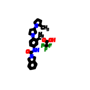 Cc1cc(NC(=O)N2Cc3ccccc3C2)ccc1N1CCC(N2CCCC2C)C1.O=C(O)C(F)(F)F